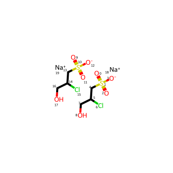 O=S(=O)([O-])CC(Cl)CO.O=S(=O)([O-])CC(Cl)CO.[Na+].[Na+]